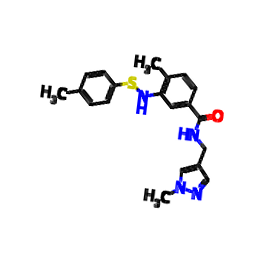 Cc1ccc(SNc2cc(C(=O)NCc3cnn(C)c3)ccc2C)cc1